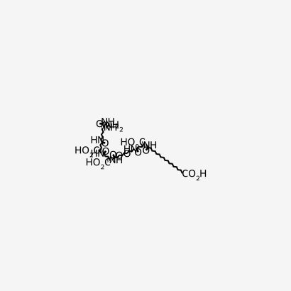 NN[C@@H](CCCCNC(=O)CC[C@H](NC(=O)CC[C@H](NC(=O)COCCOCCNC(=O)CC[C@H](NC(=O)CCCCCCCCCCCCCCCCC(=O)O)C(=O)O)C(=O)O)C(=O)O)C(N)=O